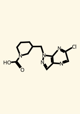 O=C(O)N1CCCC(Cn2ncc3ncc(Cl)nc32)C1